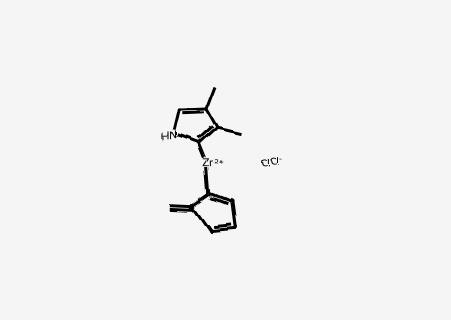 C=C1C=CC=[C]1[Zr+2][c]1[nH]cc(C)c1C.[Cl-].[Cl-]